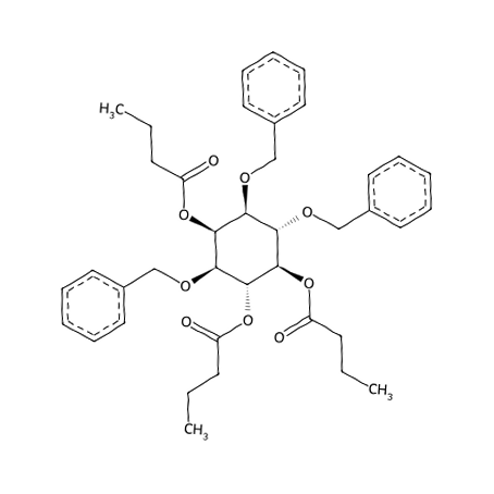 CCCC(=O)O[C@H]1[C@@H](OCc2ccccc2)[C@H](OCc2ccccc2)[C@@H](OC(=O)CCC)[C@H](OC(=O)CCC)[C@H]1OCc1ccccc1